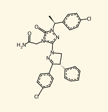 C[C@@H](c1ccc(Cl)cc1)n1nc(N2C[C@H](c3ccccc3)C(c3ccc(Cl)cc3)=N2)n(CC(N)=O)c1=O